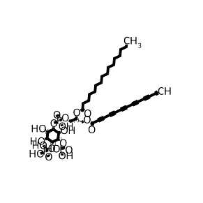 C#CC#CC#CC#CC#CC#CC(=O)OC[C@H](COP(=O)(O)OC1C(O)[C@H](OP(=O)(O)O)[C@H](OP(=O)(O)O)C(O)[C@@H]1O)OC(=O)CCCCCCCCCCCCCCC